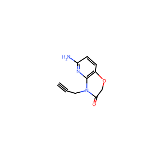 C#CCN1C(=O)COc2ccc(N)nc21